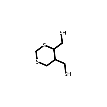 SCC1CSCSC1CS